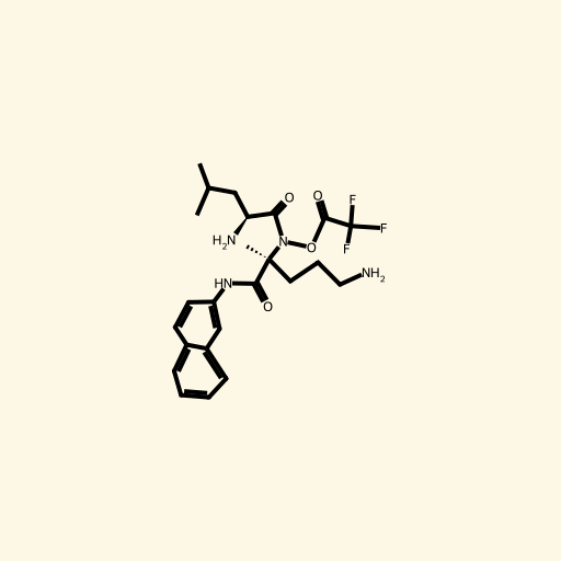 CC(C)C[C@H](N)C(=O)N(OC(=O)C(F)(F)F)[C@@](C)(CCCN)C(=O)Nc1ccc2ccccc2c1